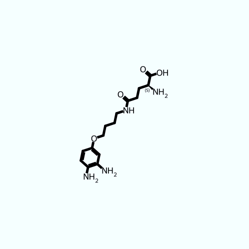 Nc1ccc(OCCCCNC(=O)CC[C@H](N)C(=O)O)cc1N